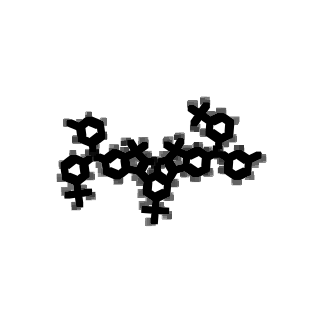 Cc1cccc(N(c2cccc(C(C)(C)C)c2)c2ccc3c(c2)C(C)(C)c2c-3c3cc(C(C)(C)C)cc4c5c(n2c34)C(C)(C)c2cc(N(c3cccc(C)c3)c3cccc(C(C)(C)C)c3)ccc2-5)c1